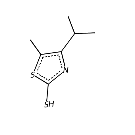 Cc1sc(S)nc1C(C)C